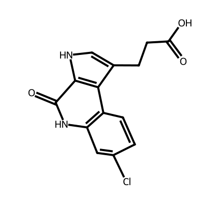 O=C(O)CCc1c[nH]c2c(=O)[nH]c3cc(Cl)ccc3c12